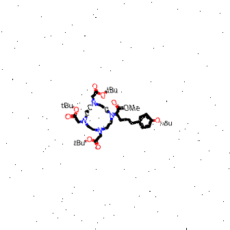 CCCCOc1ccc(CCCC(C(=O)OC)N2CCN(CC(=O)OC(C)(C)C)CCN(CC(=O)OC(C)(C)C)CCN(CC(=O)OC(C)(C)C)CC2)cc1